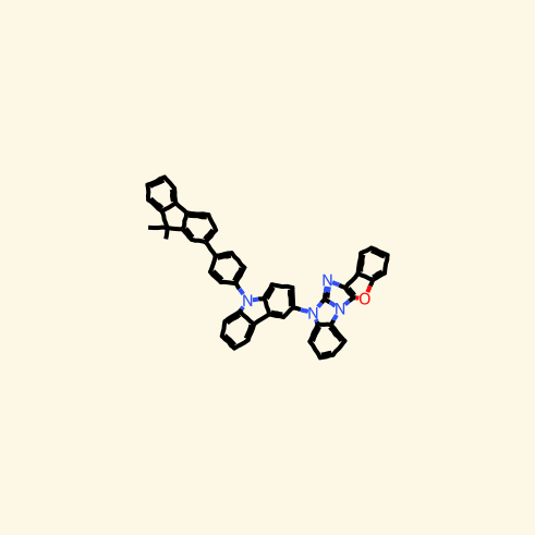 CC1(C)c2ccccc2-c2ccc(-c3ccc(-n4c5ccccc5c5cc(-n6c7ccccc7n7c8oc9ccccc9c8nc67)ccc54)cc3)cc21